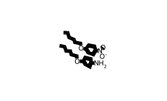 CCCCCCOc1ccc(N)cc1.CCCCCCOc1ccc([N+](=O)[O-])cc1